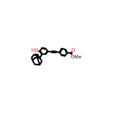 COC(=O)c1ccc(C#Cc2ccc(O)c(C34CC5CC(CC(C5)C3)C4)c2)cc1